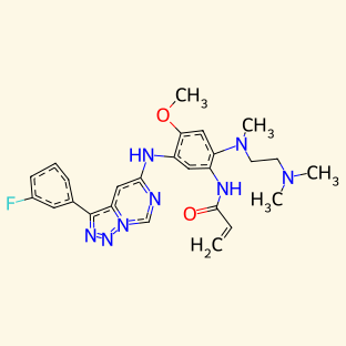 C=CC(=O)Nc1cc(Nc2cc3c(-c4cccc(F)c4)nnn3cn2)c(OC)cc1N(C)CCN(C)C